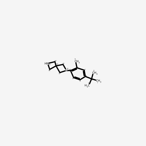 Cc1cc(C(C)(C)C)ccc1N1CC2(CNC2)C1